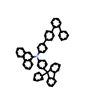 c1ccc(-c2ccccc2-c2ccc(-c3ccc(N(c4ccc(C5(c6ccccc6)c6ccccc6-c6ccccc65)cc4)c4cc5ccccc5c5ccccc45)cc3)cc2)cc1